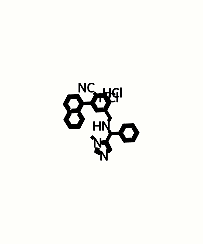 Cl.Cl.Cn1cncc1C(NCc1ccc(C#N)c(-c2cccc3ccccc23)c1)c1ccccc1